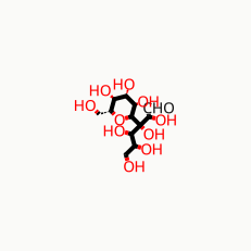 O=CC(O)C(O)(C(O)C(O)CO)C1O[C@H](CO)[C@@H](O)[C@H](O)[C@H]1O